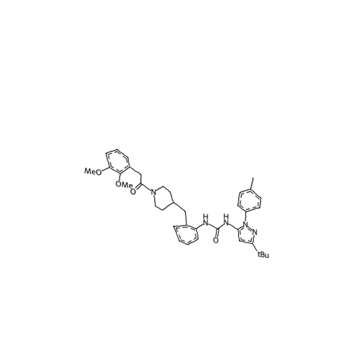 COc1cccc(CC(=O)N2CCC(Cc3ccccc3NC(=O)Nc3cc(C(C)(C)C)nn3-c3ccc(C)cc3)CC2)c1OC